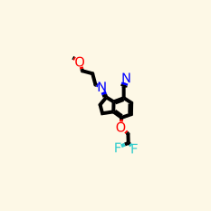 COCCCN=C1CCc2c(OCC(F)F)ccc(C#N)c21